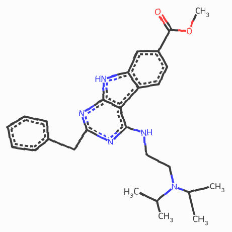 COC(=O)c1ccc2c(c1)[nH]c1nc(Cc3ccccc3)nc(NCCN(C(C)C)C(C)C)c12